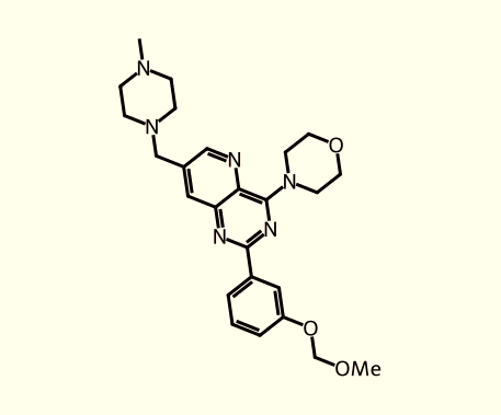 COCOc1cccc(-c2nc(N3CCOCC3)c3ncc(CN4CCN(C)CC4)cc3n2)c1